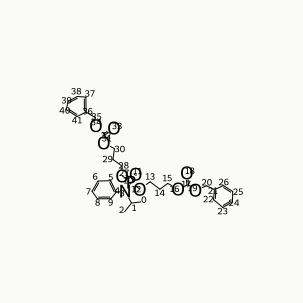 CC(C)N(c1ccccc1)P(=O)(OCCCOC(=O)OCc1ccccc1)OCCCOC(=O)OCc1ccccc1